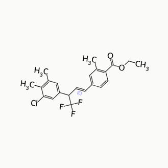 CCOC(=O)c1ccc(/C=C/C(c2cc(C)c(C)c(Cl)c2)C(F)(F)F)cc1C